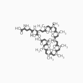 CN(CC(=O)O)C(=O)CN(C)C(=O)CN(C)C(=O)CN(C)C(=O)CN(C)C(=O)CN(C)C(=O)CN(C)C(=O)CN(C)C(=O)CN(C)C(=O)CC[C@H](NC(=O)CC[C@H](N)C(=O)O)C(=O)O